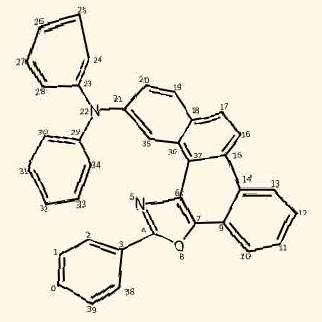 c1ccc(-c2nc3c(o2)c2ccccc2c2ccc4ccc(N(c5ccccc5)c5ccccc5)cc4c23)cc1